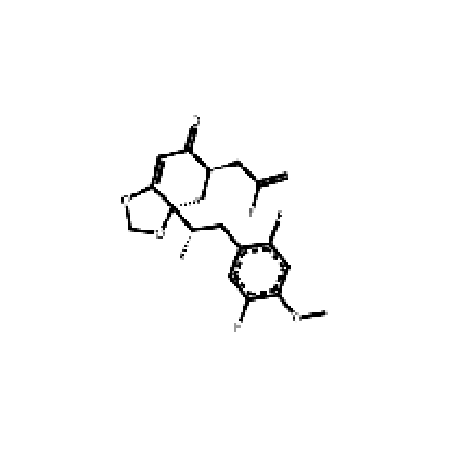 C=C(F)C[C@H]1C[C@]2([C@@H](C)Cc3cc(F)c(OC)cc3F)OCOC2=CC1=O